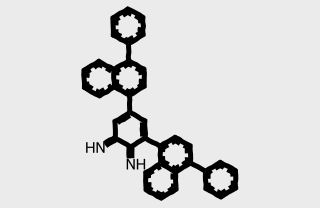 N=C1C=C(c2ccc(-c3ccccc3)c3ccccc23)C=C(c2ccc(-c3ccccc3)c3ccccc23)C1=N